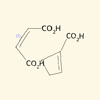 O=C(O)/C=C\C(=O)O.O=C(O)C1=CCC1